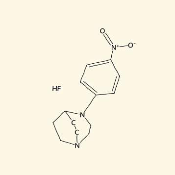 F.O=[N+]([O-])c1ccc(N2CCN3CCC2CC3)cc1